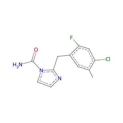 Cc1cc(Cc2nccn2C(N)=O)c(F)cc1Cl